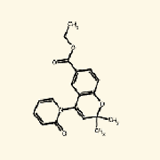 CCOC(=O)c1ccc2c(c1)C(n1ccccc1=O)=CC(C)(C)O2